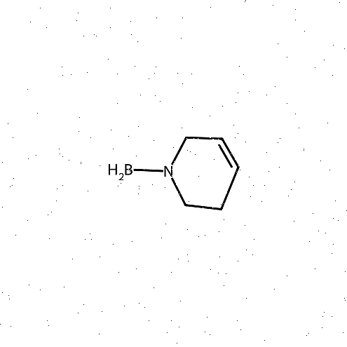 BN1CC=CCC1